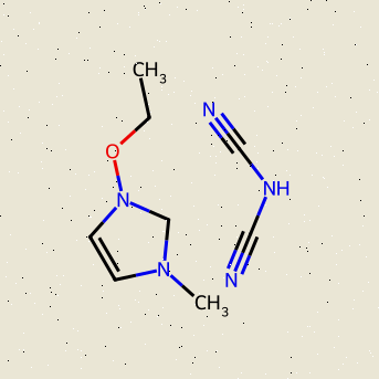 CCON1C=CN(C)C1.N#CNC#N